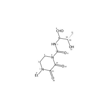 CCN1CCN(C(=O)NC([C]=O)[C@H](C)O)C(=O)C1=O